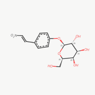 O=[N+]([O-])C=Cc1ccc(O[C@@H]2O[C@H](CO)[C@H](O)[C@H](O)[C@H]2O)cc1